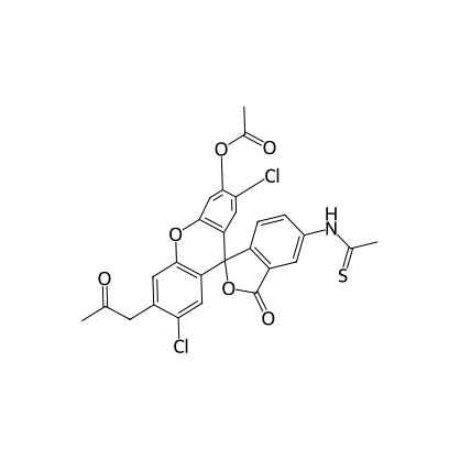 CC(=O)Cc1cc2c(cc1Cl)C1(OC(=O)c3cc(NC(C)=S)ccc31)c1cc(Cl)c(OC(C)=O)cc1O2